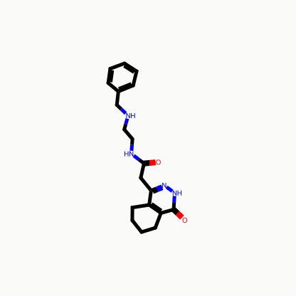 O=C(Cc1n[nH]c(=O)c2c1CCCC2)NCCNCc1ccccc1